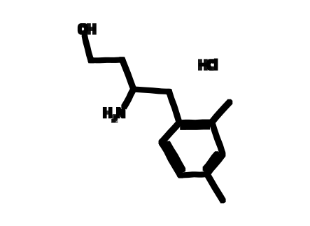 Cc1ccc(CC(N)CCO)c(C)c1.Cl